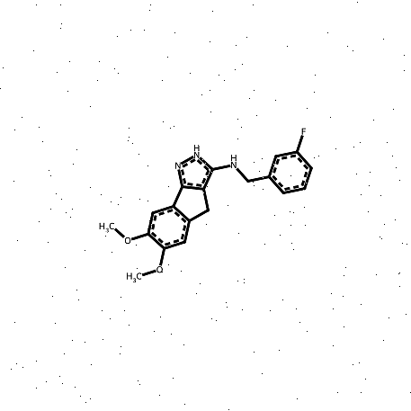 COc1cc2c(cc1OC)-c1n[nH]c(NCc3cccc(F)c3)c1C2